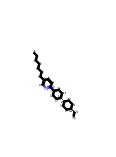 CCCCCCCc1ccc(C2CCC([C@H]3CC[C@H](CC)CC3)CC2)nc1